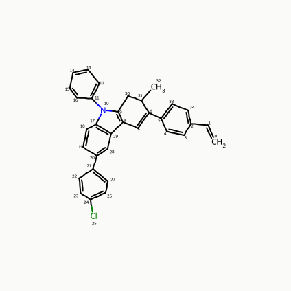 C=Cc1ccc(C2=Cc3c(n(-c4ccccc4)c4ccc(-c5ccc(Cl)cc5)cc34)CC2C)cc1